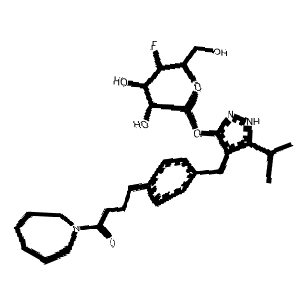 CC(C)c1[nH]nc(OC2OC(CO)C(F)C(O)C2O)c1Cc1ccc(CCCC(=O)N2CCCCCC2)cc1